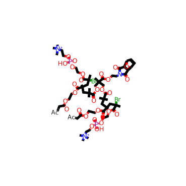 CC(=O)CC(=O)OCCOC(=O)C(C)(CC(C)(C)C(=O)OCC(C)(COC(=O)C(C)(C)CC(C)(CC(C)(Br)C(=O)OCCOP(=O)(O)OCC[N+](C)(C)C)C(=O)OCCOC(=O)CC(C)=O)C(=O)OCCN1C(=O)C2C3C=CC(O3)C2C1=O)CC(C)(Br)C(=O)OCCOP(=O)(O)OCC[N+](C)(C)C